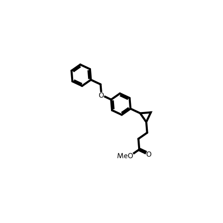 COC(=O)CCC1CC1c1ccc(OCc2ccccc2)cc1